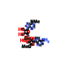 CNc1ncnc2c1ncn2[C@@H]1O[C@H](COP(=O)(O)OC2C(O)[C@H](n3cnc4c(N)ncnc43)O[C@@H]2OC)C(O)C1O